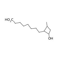 CC1CC(O)C1CCCCCCCC(=O)O